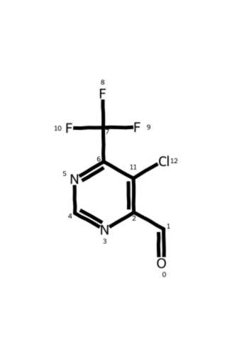 O=Cc1ncnc(C(F)(F)F)c1Cl